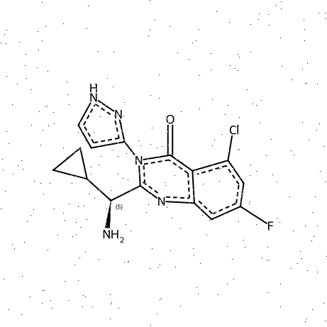 N[C@H](c1nc2cc(F)cc(Cl)c2c(=O)n1-c1cc[nH]n1)C1CC1